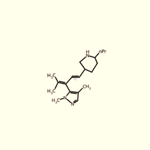 CCCC1CCC(/C=C/C(=C(C)C)c2c(C)cnn2C)CN1